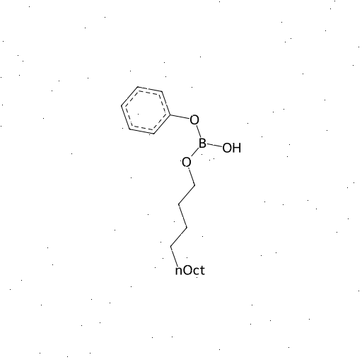 CCCCCCCCCCCCOB(O)Oc1ccccc1